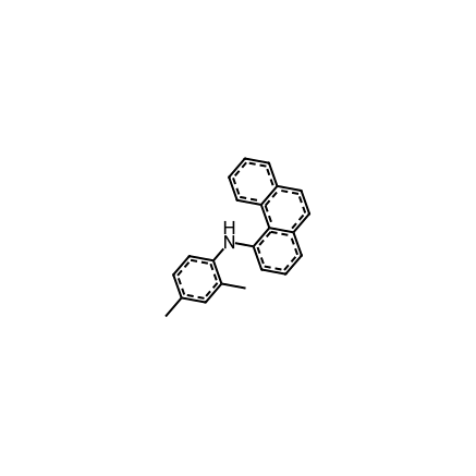 Cc1ccc(Nc2cccc3ccc4ccccc4c23)c(C)c1